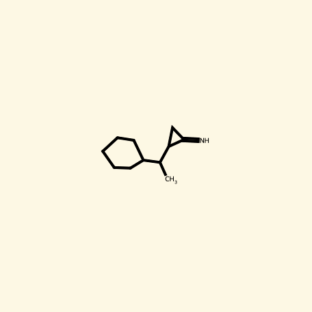 CC(C1CCCCC1)C1CC1=N